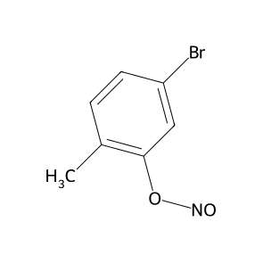 Cc1ccc(Br)cc1ON=O